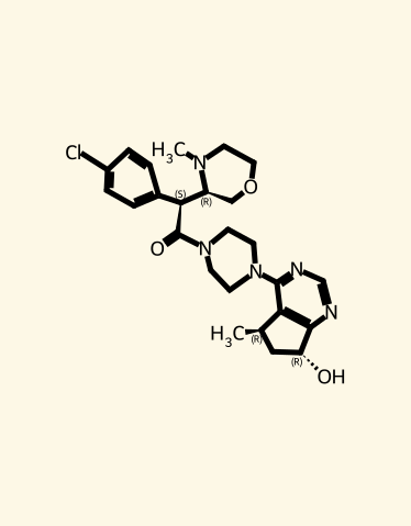 C[C@@H]1C[C@@H](O)c2ncnc(N3CCN(C(=O)[C@@H](c4ccc(Cl)cc4)[C@@H]4COCCN4C)CC3)c21